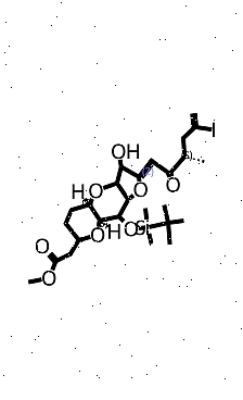 C=C(I)C[C@H](C)C(=O)/C=C1\OC2C(O[C@H]3CCC(CC(=O)OC)O[C@@H]3C2O[Si](C)(C)C(C)(C)C)C1O